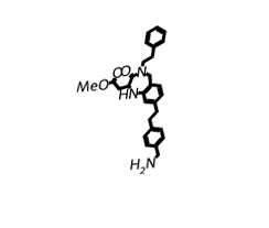 COC(=O)CC1Nc2cc(CCc3ccc(CN)cc3)ccc2CN(CCc2ccccc2)C1=O